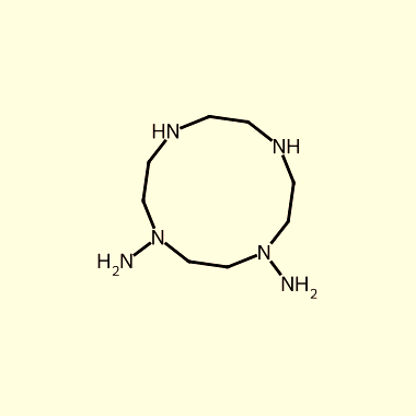 NN1CCNCCNCCN(N)CC1